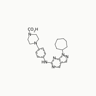 O=C(O)N1CCN(c2ccc(Nc3ncc4cnn(C5CCCCCC5)c4n3)cc2)CC1